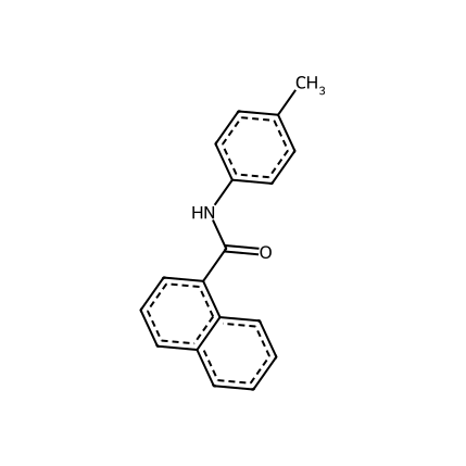 Cc1ccc(NC(=O)c2cccc3ccccc23)cc1